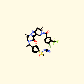 CC(c1ccc(S(C)(=O)=NC#N)cc1)N1C[C@@H](C)n2nc3c(c2C1=O)CN(C(=O)c1ccc(Cl)c(C(F)(F)F)c1)[C@H](C)C3